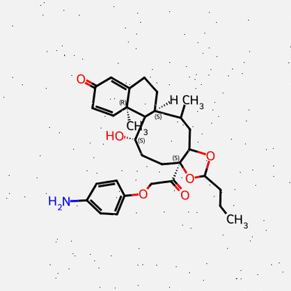 CCCC1OC2CC(C)[C@@H]3CCC4=CC(=O)C=C[C@]4(C)C3[C@@H](O)CC[C@]2(C(=O)COc2ccc(N)cc2)O1